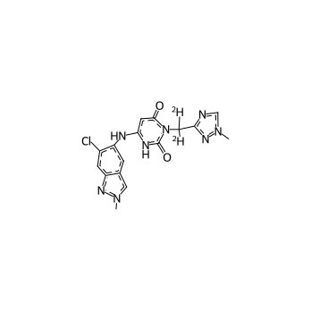 [2H]C([2H])(c1ncn(C)n1)n1c(=O)cc(Nc2cc3cn(C)nc3cc2Cl)[nH]c1=O